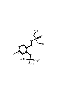 CCOC(=O)C(Cc1cc(F)ccc1CCP(=O)(OCC)OCC)(NC(C)=O)C(=O)OCC